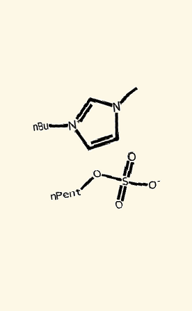 CCCCCOS(=O)(=O)[O-].CCCC[n+]1ccn(C)c1